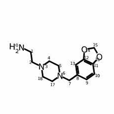 NCCN1CCN(Cc2ccc3c(c2)OCO3)CC1